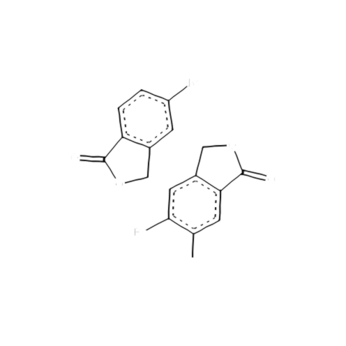 O=C1OCc2cc(Br)c(I)cc21.O=C1OCc2cc(Br)ccc21